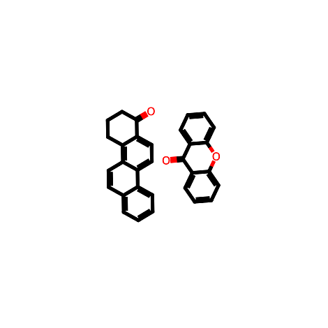 O=C1CCCc2c1ccc1c2ccc2ccccc21.O=c1c2ccccc2oc2ccccc12